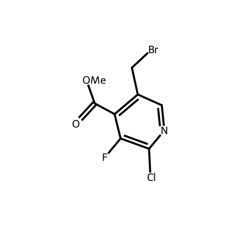 COC(=O)c1c(CBr)cnc(Cl)c1F